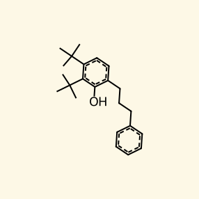 CC(C)(C)c1ccc(CCCc2ccccc2)c(O)c1C(C)(C)C